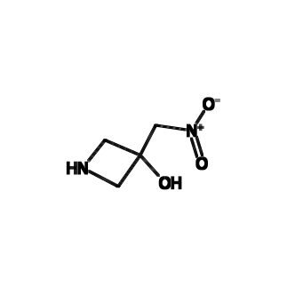 O=[N+]([O-])CC1(O)CNC1